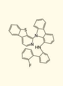 Fc1ccccc1-c1ccccc1Nc1cccc2c3ccccc3n(-c3nccc4c3sc3ccccc34)c12